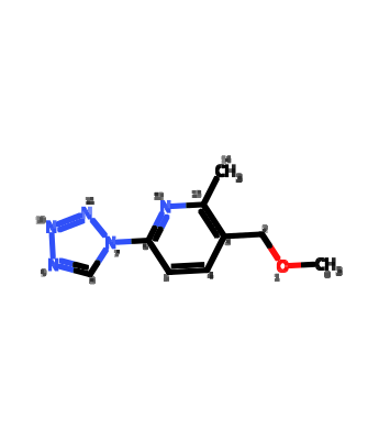 COCc1ccc(-n2cnnn2)nc1C